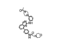 CC(=O)N1CCN(c2cccc(Nc3ncc4cccc(-c5ccc(NC(=O)CN6CCOCC6)cc5)c4n3)c2)CC1